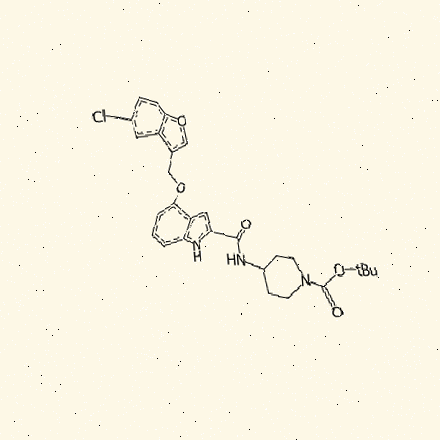 CC(C)(C)OC(=O)N1CCC(NC(=O)c2cc3c(OCc4coc5ccc(Cl)cc45)cccc3[nH]2)CC1